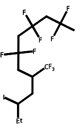 CCC(I)CC(CC(F)(F)CC(F)(F)CC(C)(F)F)C(F)(F)F